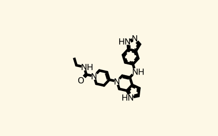 CCNC(=O)N1CC=C(N2C=C(Nc3ccc4[nH]ncc4c3)c3cc[nH]c3C2)CC1